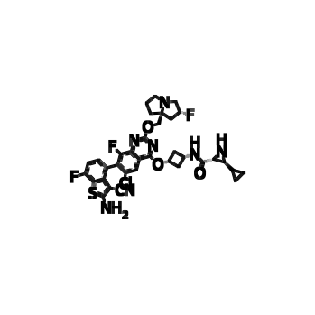 N#Cc1c(N)sc2c(F)ccc(-c3c(Cl)cc4c(O[C@H]5C[C@@H](NC(=O)[C@@H]6N[C@H]6C6CC6)C5)nc(OC[C@@]56CCCN5C[C@H](F)C6)nc4c3F)c12